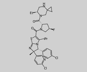 CC[C@H]1CNC2(CC2)CN1C(=O)[C@@H]1C[C@@H](F)CN1C(=O)C1=C(C(C)C)N2C(=N[C@@](C)(c3ccc(Cl)nc3)[C@H]2c2ccc(Cl)cc2)S1